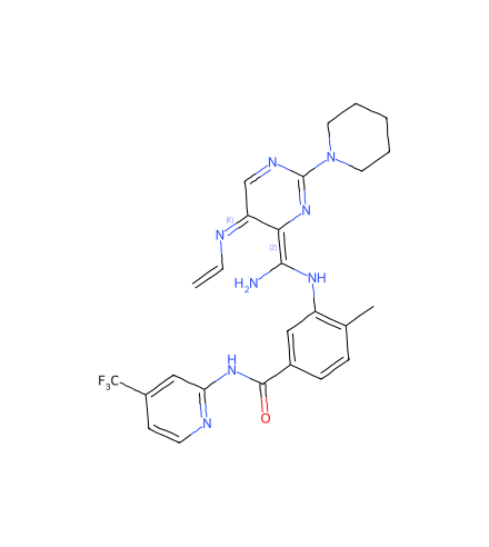 C=C/N=C1/C=NC(N2CCCCC2)=N/C1=C(/N)Nc1cc(C(=O)Nc2cc(C(F)(F)F)ccn2)ccc1C